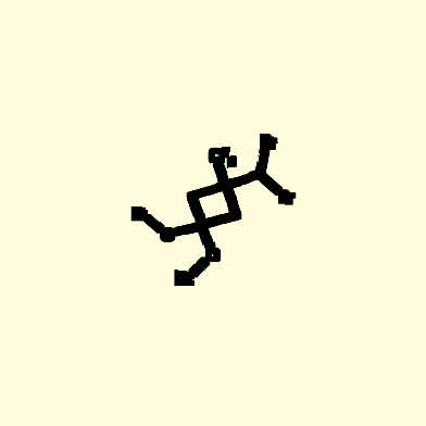 CCOC1(OCC)CC(C(Br)Br)(C(F)(F)F)C1